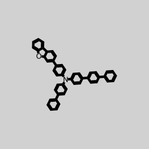 C1=CC2c3ccccc3OC2C=C1c1ccc(N(c2ccc(-c3ccccc3)cc2)c2ccc(-c3ccc(-c4ccccc4)cc3)cc2)cc1